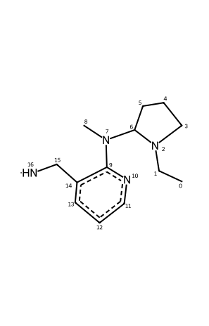 CCN1CCCC1N(C)c1ncccc1C[NH]